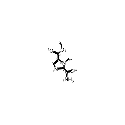 COC(=O)c1cnc(C(N)=S)n1C